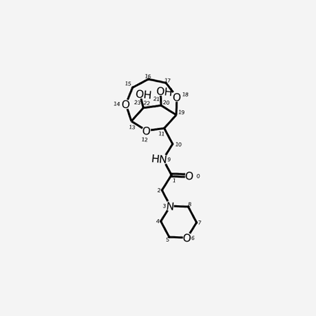 O=C(CN1CCOCC1)NCC1OC2OCCCOC1C(O)C2O